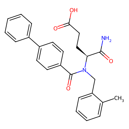 Cc1ccccc1CN(C(=O)c1ccc(-c2ccccc2)cc1)[C@@H](CCC(=O)O)C(N)=O